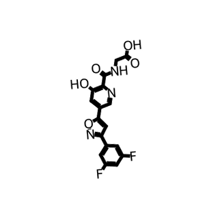 O=C(O)CNC(=O)c1ncc(-c2cc(-c3cc(F)cc(F)c3)no2)cc1O